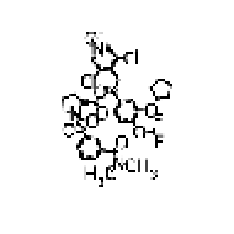 CN(C)C(=O)c1cccc(S(=O)(=O)N2CCC[C@H]2C(=O)O[C@@H](Cc2c(Cl)c[n+]([O-])cc2Cl)c2ccc(OC(F)F)c(OC3CCCC3)c2)c1